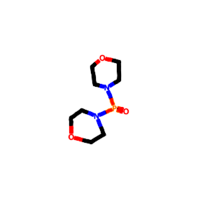 O=[P](N1CCOCC1)N1CCOCC1